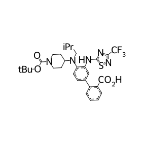 CC(C)CN(c1ccc(-c2ccccc2C(=O)O)cc1Nc1nc(C(F)(F)F)ns1)C1CCN(C(=O)OC(C)(C)C)CC1